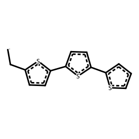 [CH2]Cc1ccc(-c2ccc(-c3cccs3)s2)s1